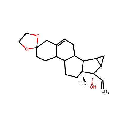 C=C[C@]1(O)C2CC2C2C3CC=C4CC5(CCC4C3CC[C@@]21C)OCCO5